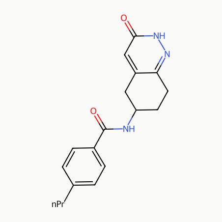 CCCc1ccc(C(=O)NC2CCc3n[nH]c(=O)cc3C2)cc1